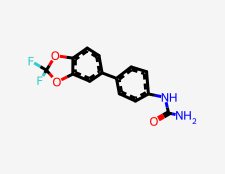 NC(=O)Nc1ccc(-c2ccc3c(c2)OC(F)(F)O3)cc1